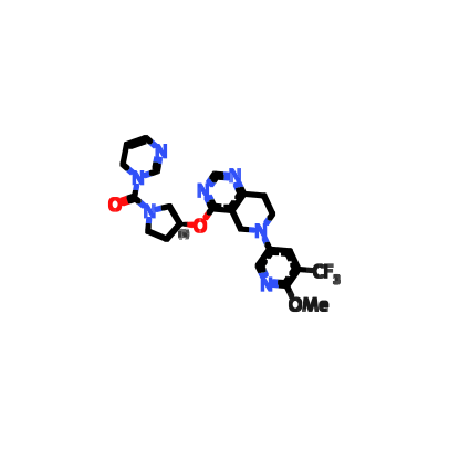 COc1ncc(N2CCc3ncnc(O[C@H]4CCN(C(=O)N5C=NC=CC5)C4)c3C2)cc1C(F)(F)F